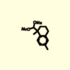 COC(OC)C1(C)CCCc2cc(C)ccc21